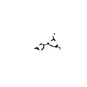 CCOc1nc(CN)cc(-c2cnc(C(F)(F)F)nc2)n1